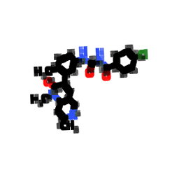 Cc1cc2c(cn1)cc(-c1cc(NC(=O)NC(=O)c3ccc(Cl)cc3)ccc1C)c(=O)n2C